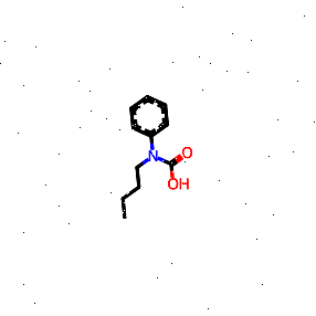 CCCCN(C(=O)O)c1ccccc1